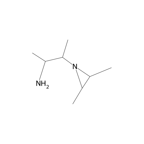 CC(N)C(C)N1C(C)C1C